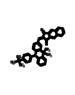 CC(C)(C)c1ccc(N2c3ccccc3C(C)(C)c3cc(C=C4C(=O)c5cc6ccccc6cc5C4=O)ccc32)cc1